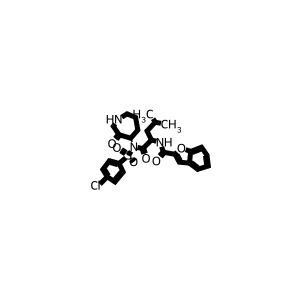 CC(C)CC(NC(=O)c1cc2ccccc2o1)C(=O)N([C@H]1CCCNCC1=O)S(=O)(=O)c1ccc(Cl)cc1